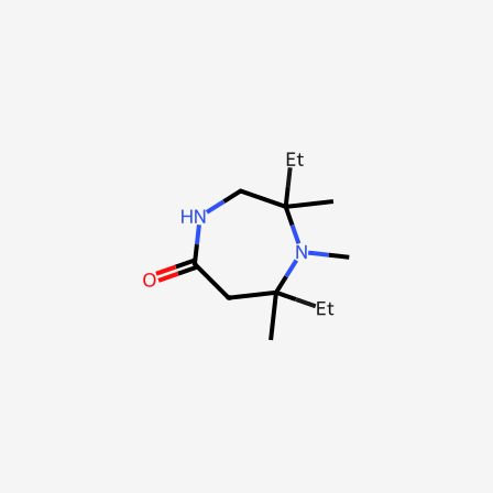 CCC1(C)CNC(=O)CC(C)(CC)N1C